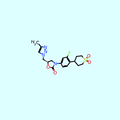 Cc1cn(C[C@H]2CN(c3ccc(C4CCS(=O)(=O)CC4)c(F)c3)C(=O)O2)nn1